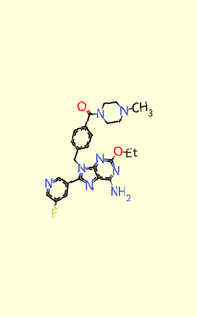 CCOc1nc(N)c2nc(-c3cncc(F)c3)n(Cc3ccc(C(=O)N4CCN(C)CC4)cc3)c2n1